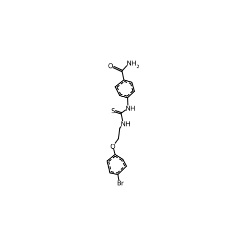 NC(=O)c1ccc(NC(=S)NCCOc2ccc(Br)cc2)cc1